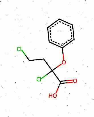 O=C(O)C(Cl)(CCCl)Oc1ccccc1